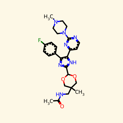 CC(=O)NCC1(C)COC(c2nc(-c3ccc(F)cc3)c(-c3ccnc(N4CCN(C)CC4)n3)[nH]2)OC1